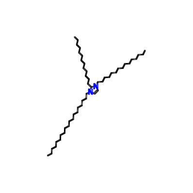 CCCCCCCCCCCCCCCCCCCN1C=CN(CCCCCCCCCCCCCCC)C1CCCCCCCCCCCCC